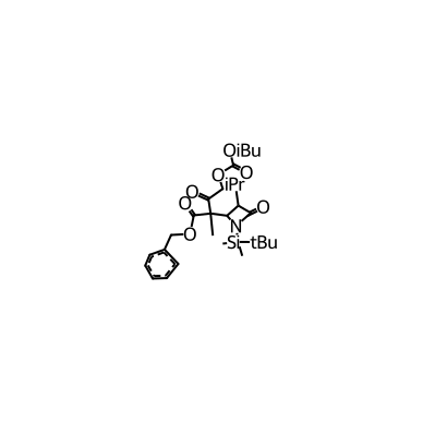 CC(C)COC(=O)OCC(=O)C(C)(C(=O)OCc1ccccc1)C1C(C(C)C)C(=O)N1[Si](C)(C)C(C)(C)C